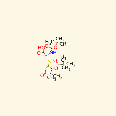 CC(C)(C)OC(=O)N[C@@H](CS[C@@H]1CC(=O)C(C)(C)[C@@H]1OC(=O)C(C)(C)C)C(=O)O